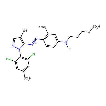 CCN(CCCCS(=O)(=O)O)c1ccc(/N=N/c2c(C#N)cnn2-c2c(Cl)cc(S(=O)(=O)O)cc2Cl)c(NC(C)=O)c1